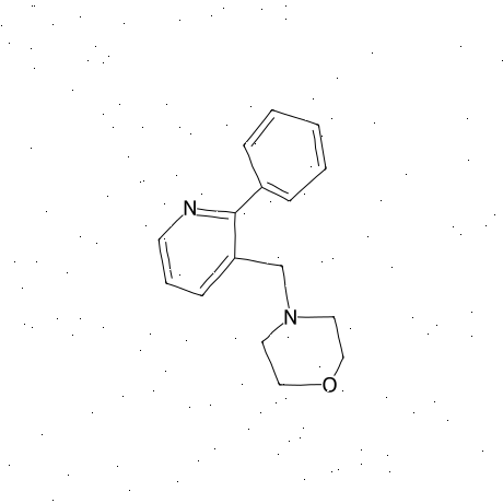 c1ccc(-c2ncccc2CN2CCOCC2)cc1